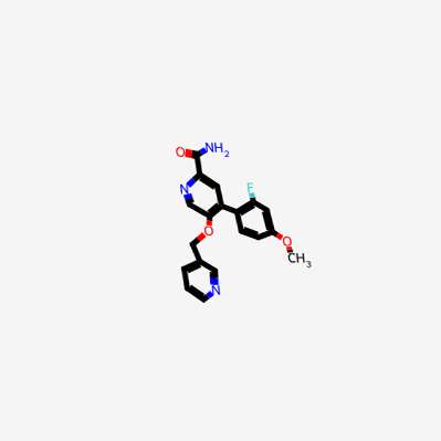 COc1ccc(-c2cc(C(N)=O)ncc2OCc2cccnc2)c(F)c1